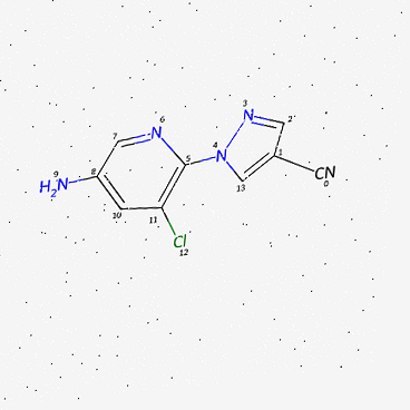 N#Cc1cnn(-c2ncc(N)cc2Cl)c1